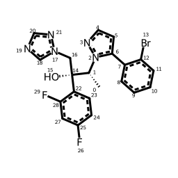 C[C@@H](n1nccc1-c1ccccc1Br)[C@](O)(Cn1cncn1)c1ccc(F)cc1F